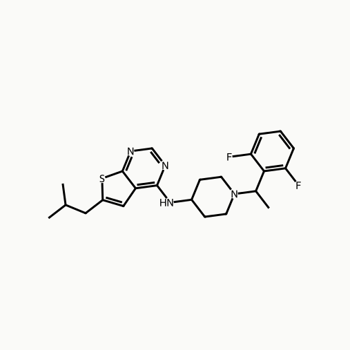 CC(C)Cc1cc2c(NC3CCN(C(C)c4c(F)cccc4F)CC3)ncnc2s1